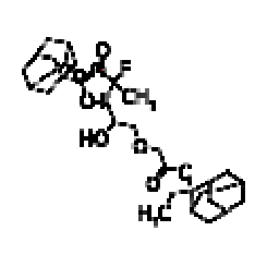 CCC1(OC(=O)COCC(O)COC(=O)C23CC4CC(C2)C(OC(=O)C(C)(F)F)C(C4)C3)C2CC3CC(C2)CC1C3